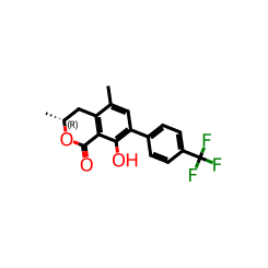 Cc1cc(-c2ccc(C(F)(F)F)cc2)c(O)c2c1C[C@@H](C)OC2=O